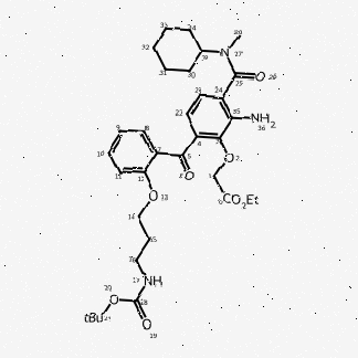 CCOC(=O)COc1c(C(=O)c2ccccc2OCCCNC(=O)OC(C)(C)C)ccc(C(=O)N(C)C2CCCCC2)c1N